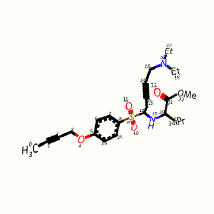 CC#CCOc1ccc(S(=O)(=O)C(C#CCN(CC)CC)NC(C(=O)OC)C(C)C)cc1